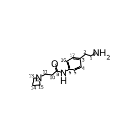 NCCc1ccc(NC(=O)CCN2CCC2)cc1